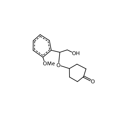 COc1ccccc1C(CO)OC1CCC(=O)CC1